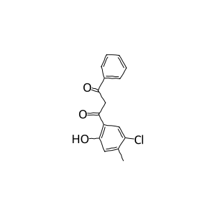 Cc1cc(O)c(C(=O)CC(=O)c2ccccc2)cc1Cl